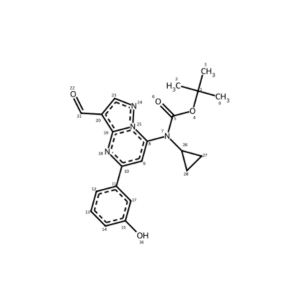 CC(C)(C)OC(=O)N(c1cc(-c2cccc(O)c2)nc2c(C=O)cnn12)C1CC1